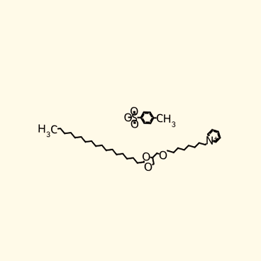 CCCCCCCCCCCCCCCCCC1OCC(COCCCCCCCC[n+]2ccccc2)O1.Cc1ccc(S(=O)(=O)[O-])cc1